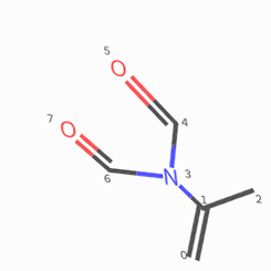 C=C(C)N(C=O)C=O